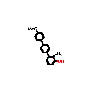 COc1ccc(-c2ccc(-c3[c]ccc(O)c3C)cc2)cc1